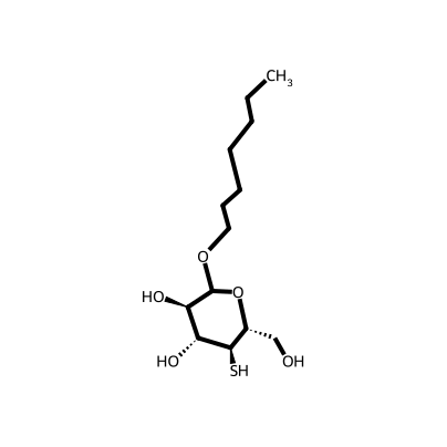 CCCCCCCOC1O[C@H](CO)[C@@H](S)[C@H](O)[C@H]1O